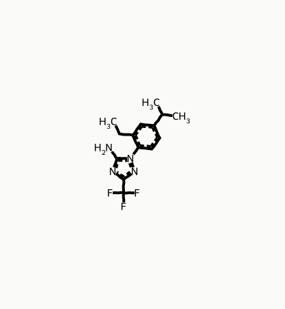 CCc1cc(C(C)C)ccc1-n1nc(C(F)(F)F)nc1N